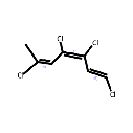 C\C(Cl)=C/C(Cl)=C(Cl)\C=C\Cl